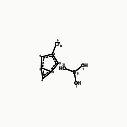 FC(F)(F)c1cc2cc-2c1.OB(O)O